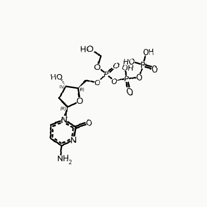 Nc1ccn([C@H]2C[C@H](O)[C@@H](COP(=O)(OCO)OP(=O)(O)OP(=O)(O)O)O2)c(=O)n1